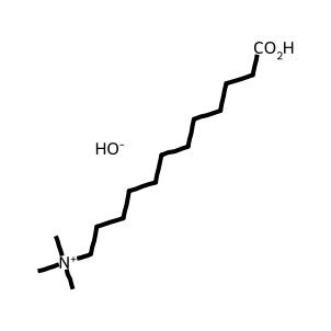 C[N+](C)(C)CCCCCCCCCCCC(=O)O.[OH-]